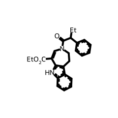 CCOC(=O)C1=CN(C(=O)C(CC)c2ccccc2)CCc2c1[nH]c1ccccc21